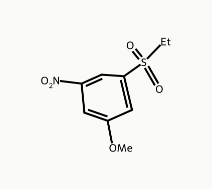 CCS(=O)(=O)c1cc(OC)cc([N+](=O)[O-])c1